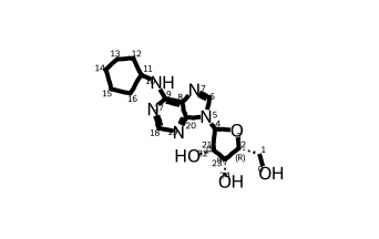 OC[C@H]1OC(n2cnc3c(NC4CCCCC4)ncnc32)[C@@H](O)[C@H]1O